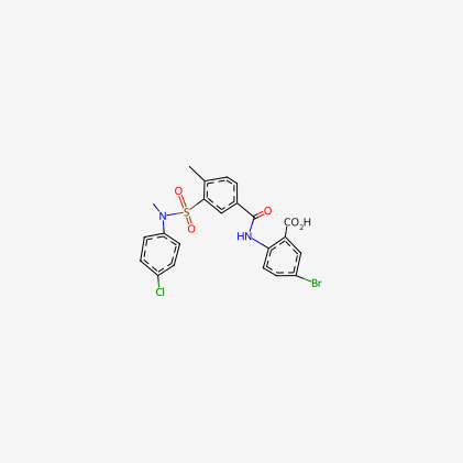 Cc1ccc(C(=O)Nc2ccc(Br)cc2C(=O)O)cc1S(=O)(=O)N(C)c1ccc(Cl)cc1